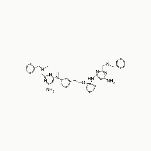 CN(Cc1ccccc1)Cc1nc(N)cc(Nc2cccc(CCOc3ccccc3Nc3cc(N)nc(CN(C)Cc4ccccc4)n3)c2)n1